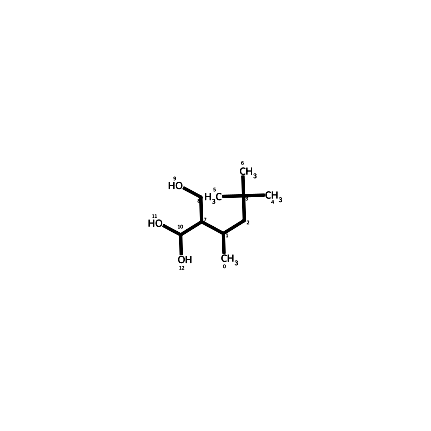 CC(CC(C)(C)C)C(CO)C(O)O